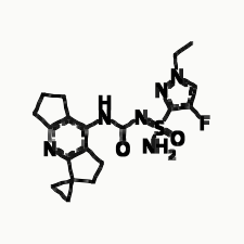 CCn1cc(F)c(S(N)(=O)=NC(=O)Nc2c3c(nc4c2CCC42CC2)CCC3)n1